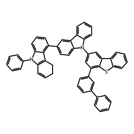 C1=Cc2c(c3c(-c4ccc5c(c4)c4ccccc4n5-c4cc(-c5cccc(-c6ccccc6)c5)c5sc6ccccc6c5c4)cccc3n2-c2ccccc2)CC1